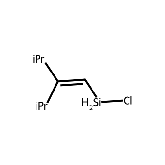 CC(C)C(=C[SiH2]Cl)C(C)C